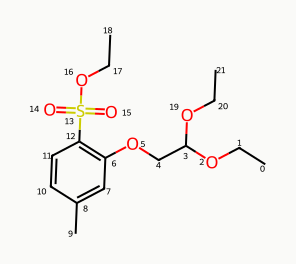 CCOC(COc1cc(C)ccc1S(=O)(=O)OCC)OCC